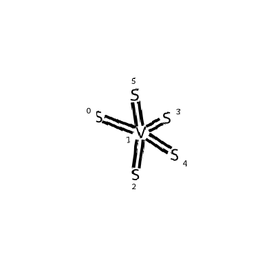 [S]=[V](=[S])(=[S])(=[S])=[S]